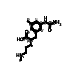 CNCCC[C@H](Cc1cc(C)cc(NC(N)=O)c1)C(=O)O